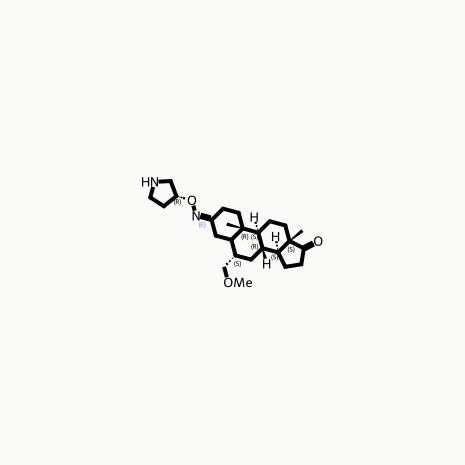 COC[C@H]1C[C@@H]2[C@H](CC[C@]3(C)C(=O)CC[C@@H]23)[C@@]2(C)CC/C(=N\O[C@@H]3CCNC3)CC12